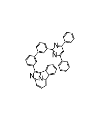 c1ccc(-c2cc(-c3ccccc3)nc(-c3cccc(-c4cccc(-c5nc6cccc7c8ccccc8c5n67)c4)c3)n2)cc1